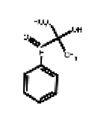 CC(O)(C(=O)O)[PH](=O)c1ccccc1